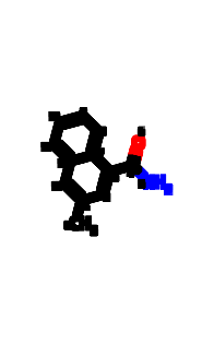 Cc1cc(C(N)=O)c2ccccc2c1